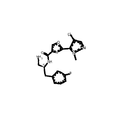 Cn1ncc(Cl)c1-c1nc(C(=O)N[C@H](CN)Cc2cccc(F)c2)co1